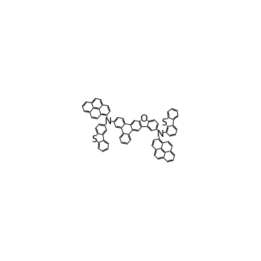 c1cc2ccc3ccc(N(c4ccc5sc6ccccc6c5c4)c4ccc5c(c4)c4ccccc4c4cc6c(cc54)oc4ccc(N(c5ccc7ccc8cccc9ccc5c7c89)c5cccc7c5sc5ccccc57)cc46)c4ccc(c1)c2c34